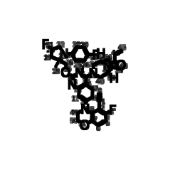 C#Cc1c(F)ccc2c1N(C1=Cc3nc(OC[C@]4(C)C[C@@H](F)CN4c4ccc(F)cc4)nc(N4C[C@H]5CC(C)[C@@H](C4)N5C(=O)C=C)c3CC1)CCO2